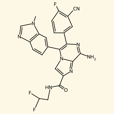 Cn1cnc2ccc(-c3c(-c4ccc(F)c(C#N)c4)nc(N)c4nc(C(=O)NCC(F)F)cn34)cc21